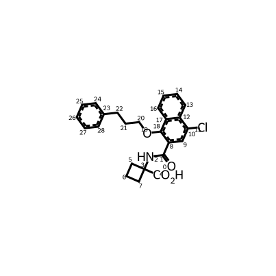 O=C(NC1(C(=O)O)CCC1)c1cc(Cl)c2ccccc2c1OCCCc1ccccc1